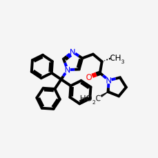 C[C@@H](Cc1cn(C(c2ccccc2)(c2ccccc2)c2ccccc2)cn1)C(=O)N1CCC[C@H]1C(=O)O